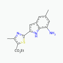 CCOC(=O)c1sc(-c2cc3cc(C)cc(N)c3[nH]2)nc1C